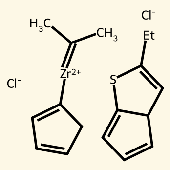 CCC1=CC2C=CC=C2S1.C[C](C)=[Zr+2][C]1=CC=CC1.[Cl-].[Cl-]